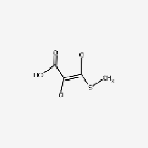 CSC(Cl)=C(Cl)C(=O)O